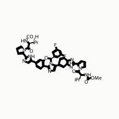 COC(=O)N[C@H](C(=O)n1cccc1-c1nc2ccc(-c3cnc4n3[C@H](c3cc(F)cc(F)c3)Oc3cc(-c5cnc(-c6cccn6C(=O)[C@@H](NC(=O)O)C(C)C)[nH]5)ccc3-4)cc2[nH]1)C(C)C